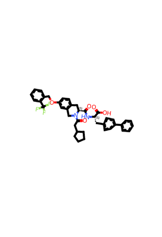 O=C(O)[C@H](Cc1ccc(-c2ccccc2)cc1)NC(=O)[C@@H]1Cc2ccc(OCc3ccccc3C(F)(F)F)cc2CN1C(=O)CC1CCCC1